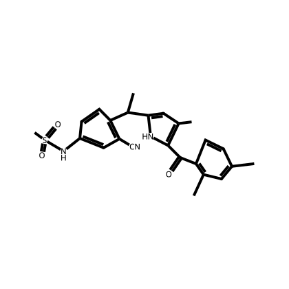 Cc1ccc(C(=O)c2[nH]c(C(C)c3ccc(NS(C)(=O)=O)cc3C#N)cc2C)c(C)c1